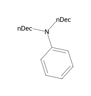 CCCCCCCCCCN(CCCCCCCCCC)c1ccccc1